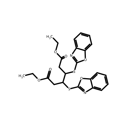 CCOC(=O)CC(Sc1nc2ccccc2o1)C(CC(=O)OCC)Sc1nc2ccccc2o1